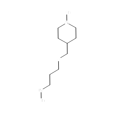 CCCN1CCC(COCCCNC(C)C)CC1